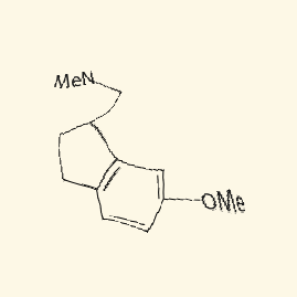 CNCC1CCc2ccc(OC)cc21